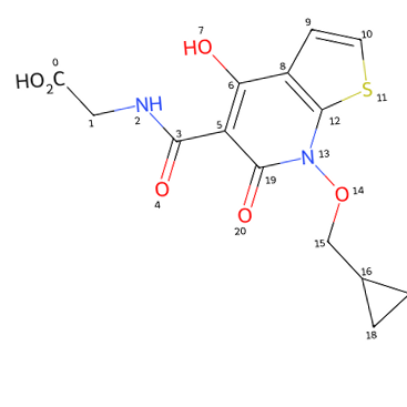 O=C(O)CNC(=O)c1c(O)c2ccsc2n(OCC2CC2)c1=O